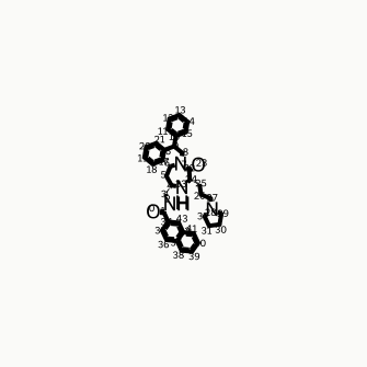 O=C(NC[C@@H]1CCN(CC(c2ccccc2)c2ccccc2)C(=O)[C@H](CCCN2CCCC2)N1)c1ccc2ccccc2c1